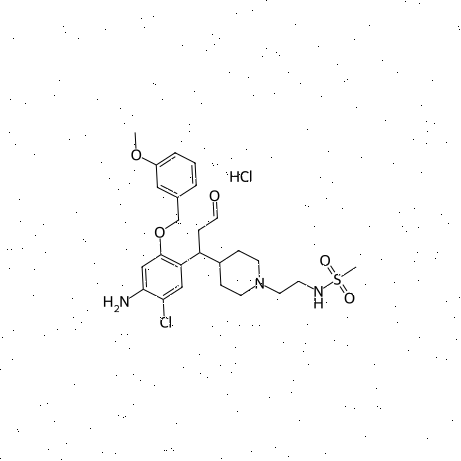 COc1cccc(COc2cc(N)c(Cl)cc2C(CC=O)C2CCN(CCNS(C)(=O)=O)CC2)c1.Cl